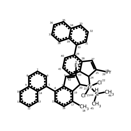 CCC1=Cc2c(-c3cccc4ccccc34)ccc(C)c2[CH]1[Zr]([Cl])([Cl])([CH]1C(C(C)C)=Cc2c(-c3cccc4ccccc34)cccc21)[SiH](C)C